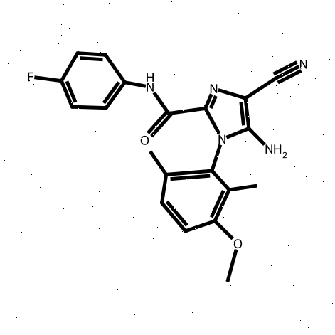 COc1ccc(C)c(-n2c(C(=O)Nc3ccc(F)cc3)nc(C#N)c2N)c1C